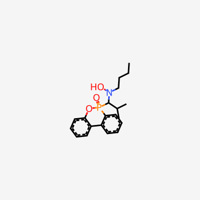 CCCCN(O)C(C(C)C)P1(=O)Oc2ccccc2-c2ccccc21